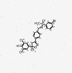 CS(=O)(=NCc1ccc(C2=NOC(c3cc(Cl)c(F)c(Cl)c3)(C(F)(F)F)C2)cc1)c1cccc(Br)c1